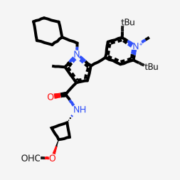 Cc1c(C(=O)N[C@H]2C[C@H](OC=O)C2)cc(-c2cc(C(C)(C)C)[n+](C)c(C(C)(C)C)c2)n1CC1CCCCC1